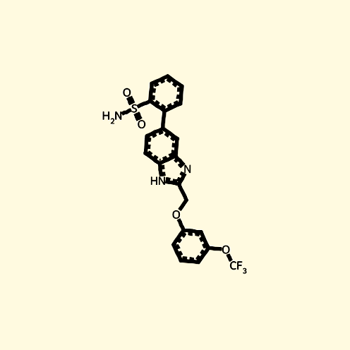 NS(=O)(=O)c1ccccc1-c1ccc2[nH]c(COc3cccc(OC(F)(F)F)c3)nc2c1